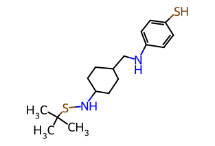 CC(C)(C)SNC1CCC(CNc2ccc(S)cc2)CC1